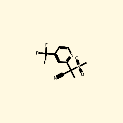 CC(C#N)(c1cc(C(F)(F)F)ccn1)S(C)(=O)=O